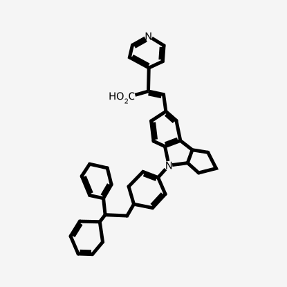 O=C(O)/C(=C\c1ccc2c(c1)C1CCCC1N2C1=CCC(CC(C2=CCCC=C2)C2C=CC=CC2)C=C1)c1ccncc1